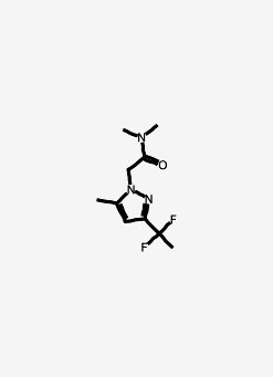 Cc1cc(C(C)(F)F)nn1CC(=O)N(C)C